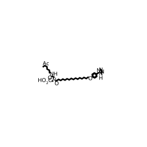 CC(=O)[C@@H](C)CCCCNC(=O)CN(CC(=O)O)C(=O)CCCCCCCCCCCCCCCOc1ccc(-c2nnn[nH]2)cc1